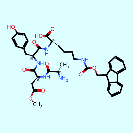 COC(=O)C[C@H](NC(=O)[C@H](C)N)C(=O)N[C@@H](Cc1ccc(O)cc1)C(=O)N[C@@H](CCCCNC(=O)OCC1c2ccccc2-c2ccccc21)C(=O)O